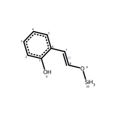 Oc1ccccc1/C=C/O[SiH3]